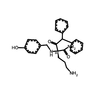 NCCC[C@](NCc1ccc(O)cc1)(C(N)=O)C(=O)C(c1ccccc1)c1ccccc1